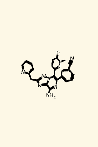 Cn1nc(-c2c(-c3cccc(C#N)c3)nc(N)c3nc(Cc4ccccn4)nn23)ccc1=O